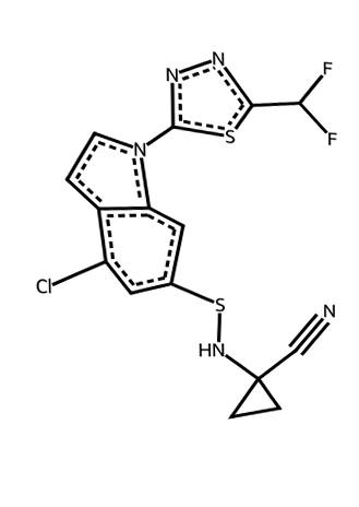 N#CC1(NSc2cc(Cl)c3ccn(-c4nnc(C(F)F)s4)c3c2)CC1